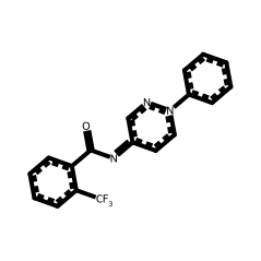 O=C(N=c1ccn(-c2ccccc2)nc1)c1ccccc1C(F)(F)F